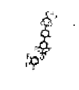 CC1COC(C2CC=C(C3=CC(F)C(C(F)(F)Oc4cc(F)c(F)c(F)c4)C(F)C3)C(F)C2)OC1